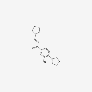 N#Cc1nc(C(=O)C=CN2CCCC2)ccc1N1CCCC1